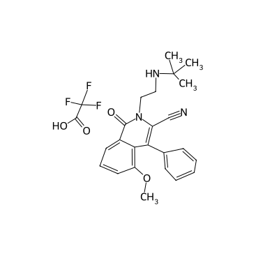 COc1cccc2c(=O)n(CCNC(C)(C)C)c(C#N)c(-c3ccccc3)c12.O=C(O)C(F)(F)F